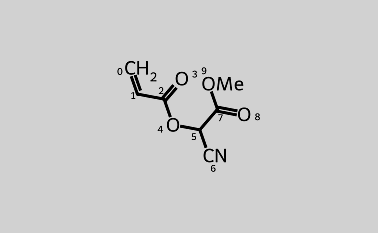 C=CC(=O)OC(C#N)C(=O)OC